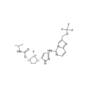 CC(C)NC(=O)O[C@H]1CC[C@@H](c2cc(Nc3nccc4nc(COC(F)(F)F)cn34)n[nH]2)[C@H]1F